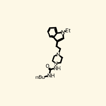 CCCCNC(=O)NN1CCN(CCc2cn(CC)c3ccccc23)CC1